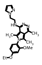 CCOc1ccc(-n2c(C)c3c(C)nnc(NCCn4cccn4)c3c2C)c(OC)c1